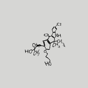 CC(C)(O)C#Cc1cc2c(cc1OCCCO)C(C)(C)c1[nH]c3cc(Cl)ccc3c1C2=O